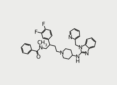 CN(CC(CCN1CCC(Nc2nc3ccccc3n2Cc2ccccn2)CC1)c1ccc(F)c(F)c1)C(=O)c1ccccc1